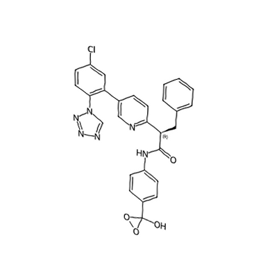 O=C(Nc1ccc(C2(O)OO2)cc1)[C@H](Cc1ccccc1)c1ccc(-c2cc(Cl)ccc2-n2cnnn2)cn1